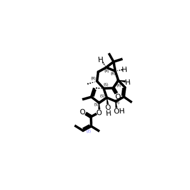 C/C=C(/C)C(=O)O[C@H]1C(C)=C[C@]23C(=O)[C@@H](C=C(C)[C@@H](O)[C@]12O)[C@H]1[C@@H](C[C@H]3C)C1(C)C